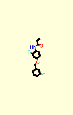 C=CC(=O)Nc1ccc(OCc2cccc(F)c2)cc1F